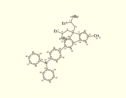 CCCCC(CC)CC1(CC(CC)CCCC)c2cc(C)sc2-c2sc(-c3ccc(N(c4ccccc4)c4ccccc4)cc3)cc21